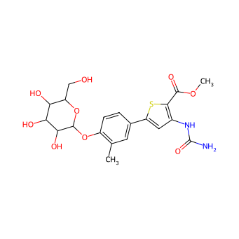 COC(=O)c1sc(-c2ccc(OC3OC(CO)C(O)C(O)C3O)c(C)c2)cc1NC(N)=O